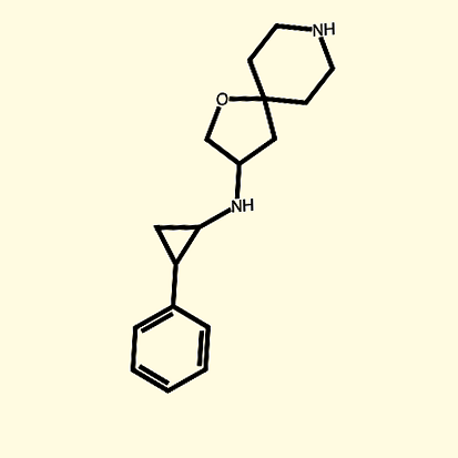 c1ccc(C2CC2NC2COC3(CCNCC3)C2)cc1